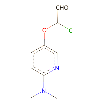 CN(C)c1ccc(OC(Cl)C=O)cn1